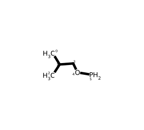 CC(C)COP